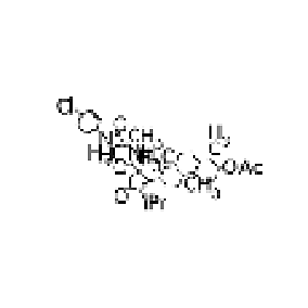 CC(=O)OC1CCC2(C)C(CCC3(C)C4CCC5(C(=O)NC(C)(C)C(=O)Nc6ccc(Cl)cc6)CC(=O)C(C(C)C)=C5C4CCC32)C1C